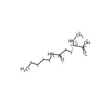 CCCCCNC(=O)CC[C@H](NC)C(=O)O